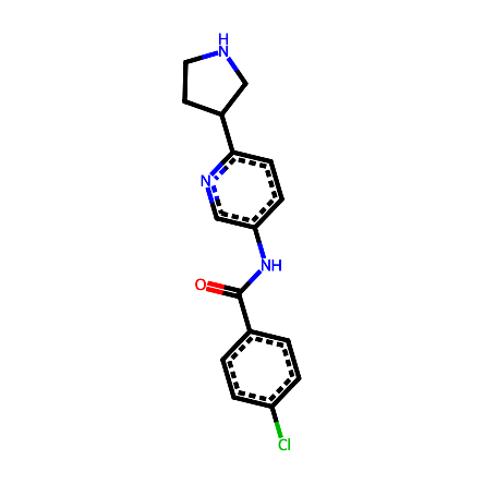 O=C(Nc1ccc(C2CCNC2)nc1)c1ccc(Cl)cc1